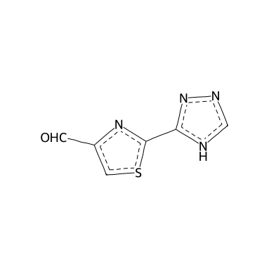 O=Cc1csc(-c2nnc[nH]2)n1